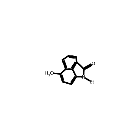 CCN1C(=O)c2cccc3c(C)ccc1c23